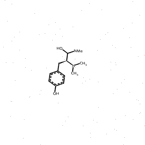 CNC(O)[C@H](Cc1ccc(O)cc1)N(C)C